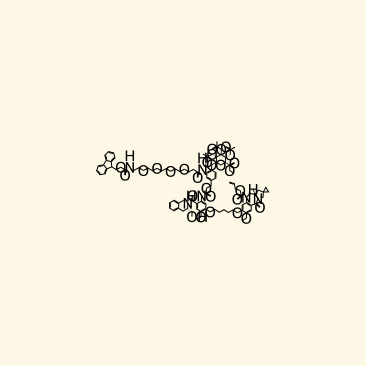 C=CCOC(=O)N1C[C@@H]2CC3(CC3)CN2C(=O)c2cc(OC)c(OCCCCCOc3cc(NC(=O)OCc4ccc(O[C@@H]5O[C@H](C(=O)OC)[C@@H](OC(C)=O)[C@H](OC(C)=O)[C@H]5OC(C)=O)c(NC(=O)CCOCCOCCOCCOCCNC(=O)OCC5c6ccccc6-c6ccccc65)c4)c(C(=O)N4Cc5ccccc5C[C@H]4CO)cc3OC)cc21